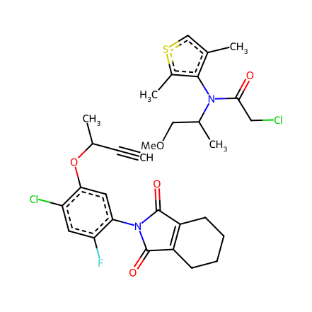 C#CC(C)Oc1cc(N2C(=O)C3=C(CCCC3)C2=O)c(F)cc1Cl.COCC(C)N(C(=O)CCl)c1c(C)csc1C